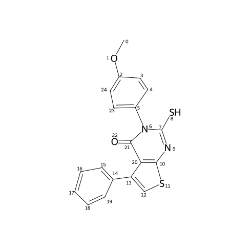 COc1ccc(-n2c(S)nc3scc(-c4ccccc4)c3c2=O)cc1